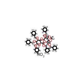 CC1(C)O[C@H]2[C@@H](O1)[C@@H](COCc1ccccc1)O[C@@H](O[C@H]1[C@H](OCc3ccccc3)[C@@H](OCc3ccccc3)[C@H](Oc3ccc([N+](=O)[O-])cc3)O[C@@H]1COCc1ccccc1)[C@@H]2OCc1ccccc1